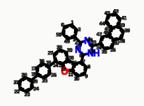 c1ccc(C2=NC(c3cccc4oc5c(-c6ccc(-c7ccccc7)cc6)cccc5c34)NC(c3ccc4ccc5ccccc5c4c3)=N2)cc1